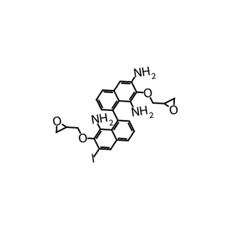 Nc1cc2cccc(-c3cccc4cc(I)c(OCC5CO5)c(N)c34)c2c(N)c1OCC1CO1